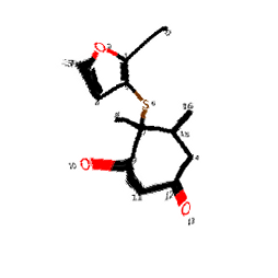 Cc1occc1SC1(C)C(=O)CC(=O)CC1C